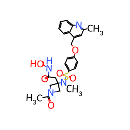 CC(=O)N1CC(CC(=O)NO)(N(C)S(=O)(=O)c2ccc(OCc3cc(C)nc4ccccc34)cc2)C1